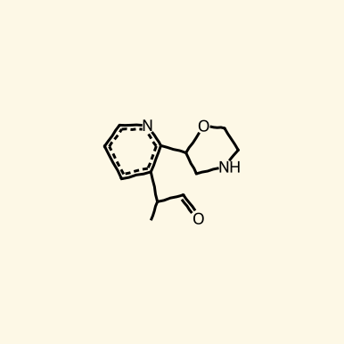 CC(C=O)c1cccnc1C1CNCCO1